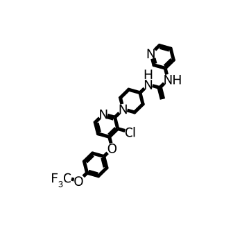 C=C(Nc1cccnc1)NC1CCN(c2nccc(Oc3ccc(OC(F)(F)F)cc3)c2Cl)CC1